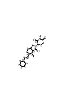 O=C1CCC(N2Cc3ccc(OCc4ccccc4)c(F)c3C2=O)C(=O)N1